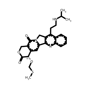 CSCO[C@@H]1C(=O)OCc2c1cc1n(c2=O)Cc2c-1nc1ccccc1c2CCNC(C)C